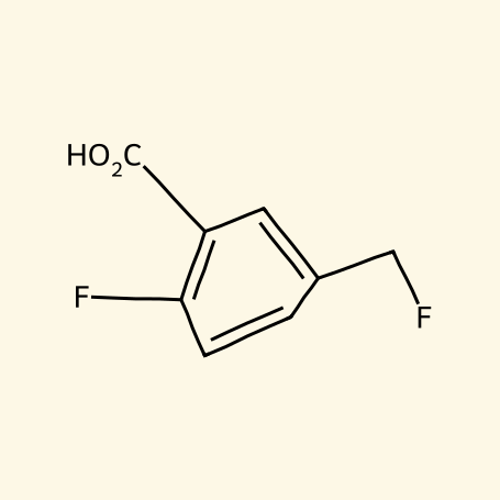 O=C(O)c1cc(CF)ccc1F